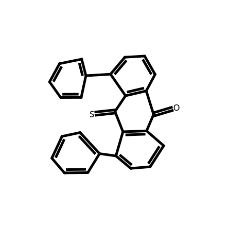 O=C1c2cccc(-c3ccccc3)c2C(=S)c2c1cccc2-c1ccccc1